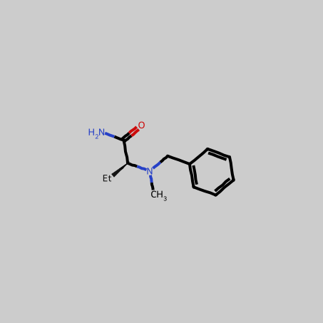 CC[C@@H](C(N)=O)N(C)Cc1ccccc1